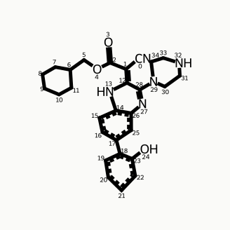 N#CC(C(=O)OCC1CCCCC1)=C1Nc2ccc(-c3ccccc3O)cc2N=C1N1CCNCC1